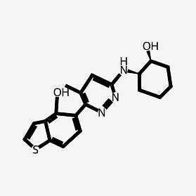 Cc1cc(N[C@@H]2CCCC[C@@H]2O)nnc1-c1ccc2sccc2c1O